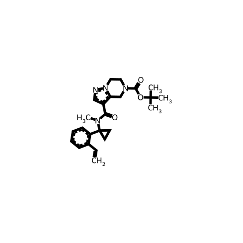 C=Cc1ccccc1C1(N(C)C(=O)c2cnn3c2CN(C(=O)OC(C)(C)C)CC3)CC1